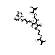 C=C(C)C(=O)OCCNC(=O)N(CCOC(=O)C(=C)C)C(=O)NCCC[Si](OC)(OC)OC